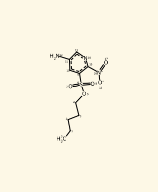 CCCCCOS(=O)(=O)c1cc(N)cnc1[N+](=O)[O-]